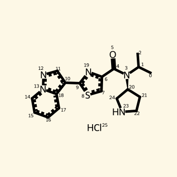 CC(C)N(C(=O)c1csc(-c2cnn3ccccc23)n1)[C@H]1CCNC1.Cl